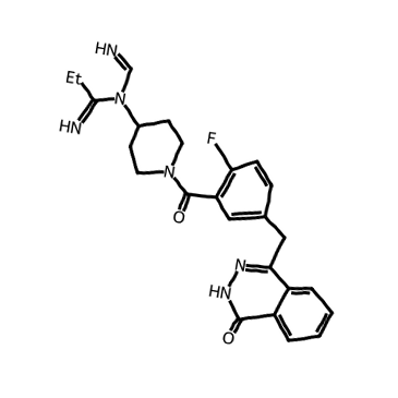 CCC(=N)N(C=N)C1CCN(C(=O)c2cc(Cc3n[nH]c(=O)c4ccccc34)ccc2F)CC1